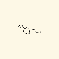 [O]CCc1cccc([N+](=O)[O-])c1